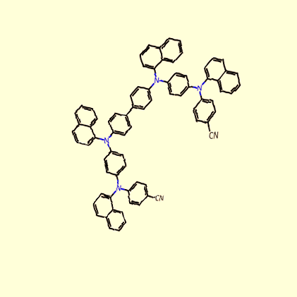 N#Cc1ccc(N(c2ccc(N(c3ccc(-c4ccc(N(c5ccc(N(c6ccc(C#N)cc6)c6cccc7ccccc67)cc5)c5cccc6ccccc56)cc4)cc3)c3cccc4ccccc34)cc2)c2cccc3ccccc23)cc1